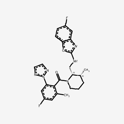 Cc1cc(F)cc(-n2nccn2)c1C(=O)N1CCC[C@@H](C)[C@H]1CNc1nc2cc(F)ccc2o1